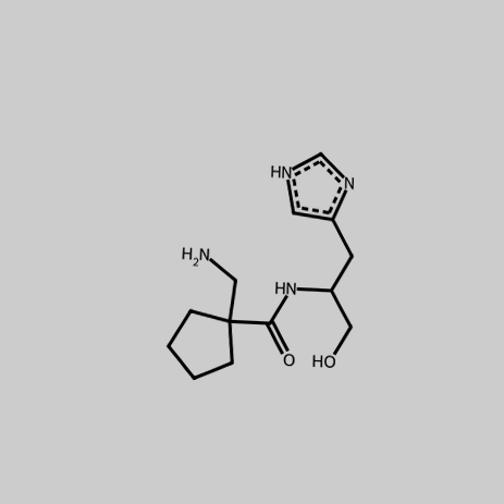 NCC1(C(=O)NC(CO)Cc2c[nH]cn2)CCCC1